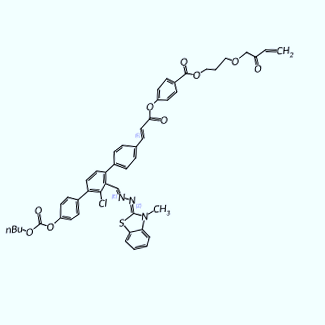 C=CC(=O)COCCCOC(=O)c1ccc(OC(=O)/C=C/c2ccc(-c3ccc(-c4ccc(OC(=O)OCCCC)cc4)c(Cl)c3/C=N/N=c3\sc4ccccc4n3C)cc2)cc1